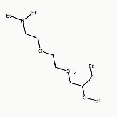 CCOC(C[SiH2]CCOCCN(CC)CC)OCC